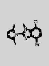 Cc1ccc(C)n1-c1nc2c(Br)ccc(Cl)c2n1C